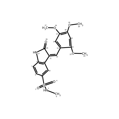 CNS(=O)(=O)c1ccc2c(c1)C(=Cc1cc(OC)c(OC)cc1OC)C(=O)N2